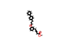 COC(=O)CC#CCc1cccc(OCCCc2ccc(-c3ccccc3)cc2)c1